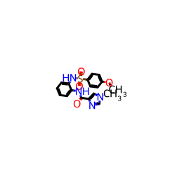 COc1ccc(S(=O)(=O)Nc2ccccc2NC(=O)c2cn(C)cn2)cc1